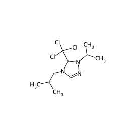 CC(C)CN1C=NN(C(C)C)C1C(Cl)(Cl)Cl